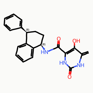 C=C1NC(=O)NC(C(=O)N[C@@H]2CC[C@H](c3ccccc3)c3ccccc32)=C1O